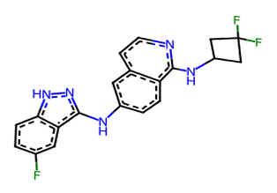 Fc1ccc2[nH]nc(Nc3ccc4c(NC5CC(F)(F)C5)nccc4c3)c2c1